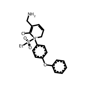 CCS(=O)(=O)[N+]1(c2ccc(Oc3ccccc3)cc2)CC=CC(CN)=C1Cl